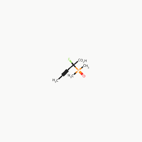 CC#CC(F)(C(=O)O)P(C)(C)=O